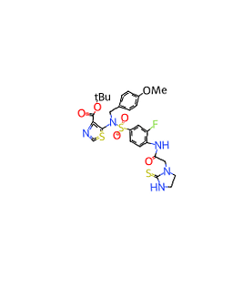 COc1ccc(CN(c2scnc2C(=O)OC(C)(C)C)S(=O)(=O)c2ccc(NC(=O)CN3CCNC3=S)c(F)c2)cc1